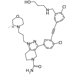 C[C@@H]1COCCN1CCCn1nc(-c2ccc(Cl)c(C#Cc3ccc(Cl)c(CNCCCO)c3)c2)c2c1CCN(C(N)=O)C2